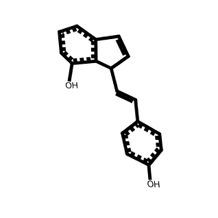 Oc1ccc(C=CC2C=Cc3cccc(O)c32)cc1